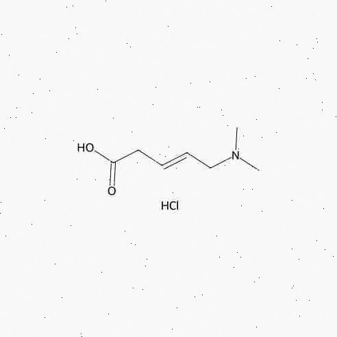 CN(C)CC=CCC(=O)O.Cl